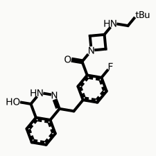 CC(C)(C)CNC1CN(C(=O)c2cc(CC3=NNC(O)c4ccccc43)ccc2F)C1